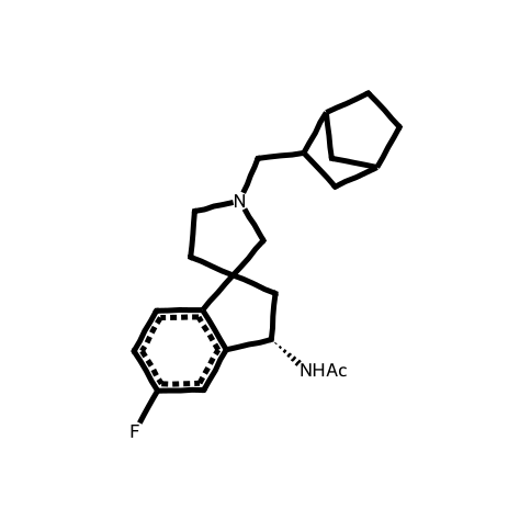 CC(=O)N[C@H]1CC2(CCN(CC3CC4CCC3C4)C2)c2ccc(F)cc21